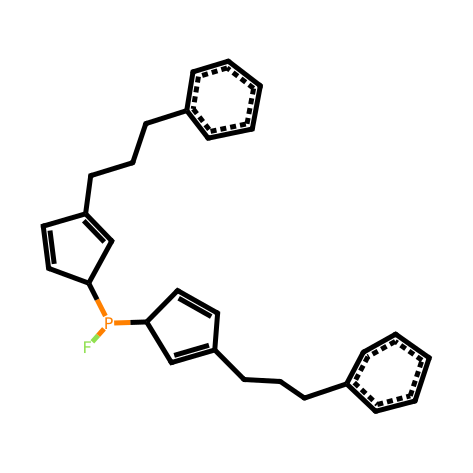 FP(C1C=CC(CCCc2ccccc2)=C1)C1C=CC(CCCc2ccccc2)=C1